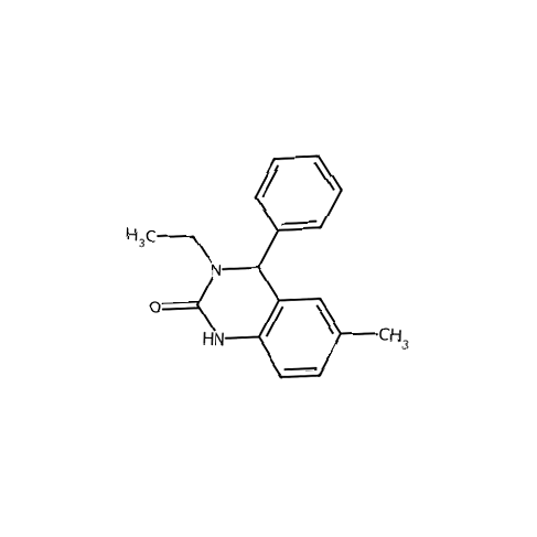 CCN1C(=O)Nc2ccc(C)cc2C1c1ccccc1